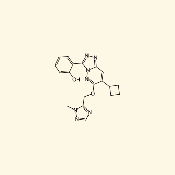 Cn1ncnc1COc1nn2c(-c3ccccc3O)nnc2cc1C1CCC1